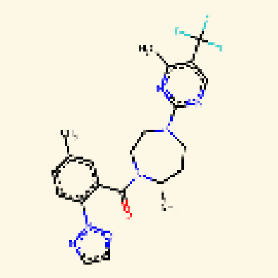 Cc1ccc(-n2nccn2)c(C(=O)N2CCN(c3ncc(C(F)(F)F)c(C)n3)CC[C@@H]2C)c1